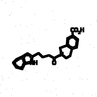 O=C(O)c1ccc2c(c1)CN(C(=O)CCCc1cc3ccccc3[nH]1)CC2